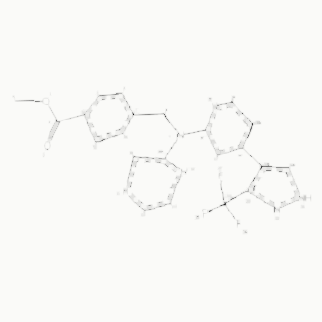 COC(=O)c1ccc(CN(c2cnccn2)c2cc(-c3c[nH]nc3C(F)(F)F)ccn2)cc1